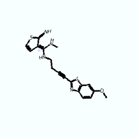 CN/C(NCCC#Cc1nc2ccc(OC)cc2s1)=C1/C=CSC1=N